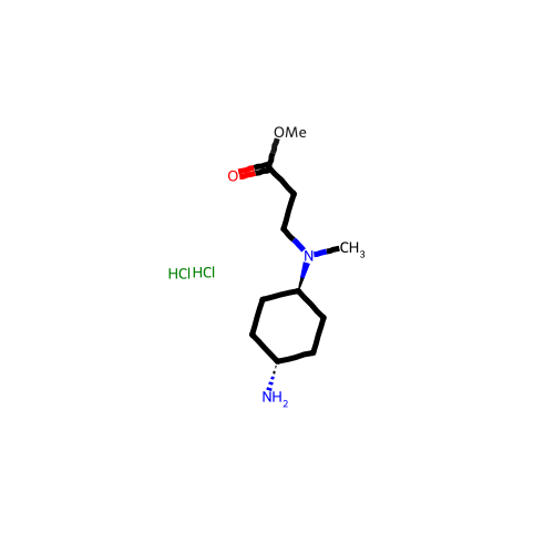 COC(=O)CCN(C)[C@H]1CC[C@H](N)CC1.Cl.Cl